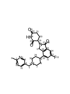 Cc1ncc(CN2CCC(c3cc(F)cc4c3CN(C3CCC(=O)NC3=O)C4=O)CC2)cn1